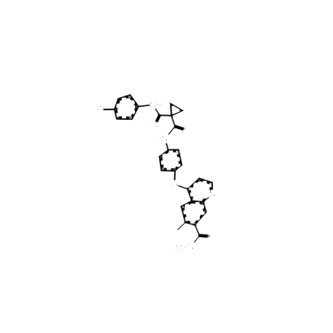 CNC(=O)c1cc2nccc(Oc3ccc(NC(=O)C4(C(=O)Nc5ccc(F)cc5)CC4)cc3)c2cc1C